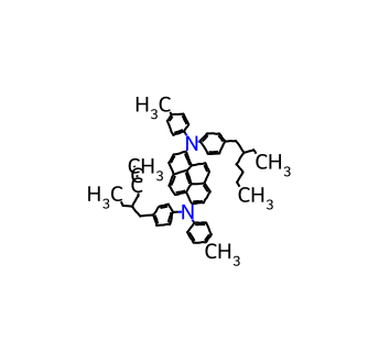 CCCCC(CC)Cc1ccc(N(c2ccc(C)cc2)c2ccc3ccc4c(N(c5ccc(C)cc5)c5ccc(CC(CC)CCCC)cc5)ccc5ccc2c3c54)cc1